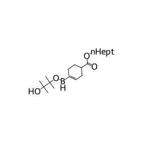 CCCCCCCOC(=O)C1CC=C(BOC(C)(C)C(C)(C)O)CC1